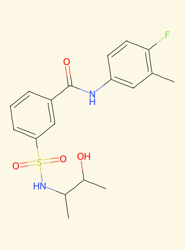 Cc1cc(NC(=O)c2cccc(S(=O)(=O)NC(C)C(C)O)c2)ccc1F